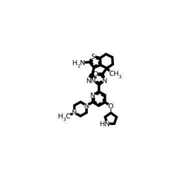 CN1CCN(c2cc(O[C@@H]3CCNC3)cc(-c3noc(C4(C)CCCc5sc(N)c(C#N)c54)n3)n2)CC1